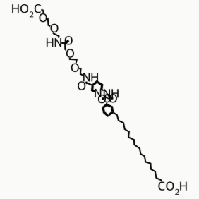 O=C(O)CCCCCCCCCCCCCCCCCc1cccc(S(=O)(=O)Nc2ccc(C(=O)NCCOCCOCC(=O)NCCOCCOCC(=O)O)cn2)c1